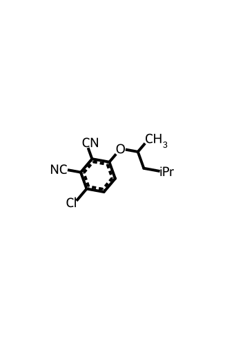 CC(C)CC(C)Oc1ccc(Cl)c(C#N)c1C#N